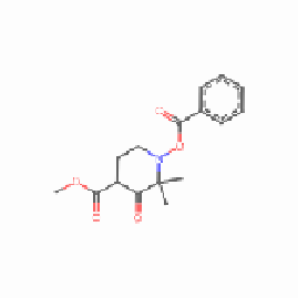 COC(=O)C1CCN(OC(=O)c2ccccc2)C(C)(C)C1=O